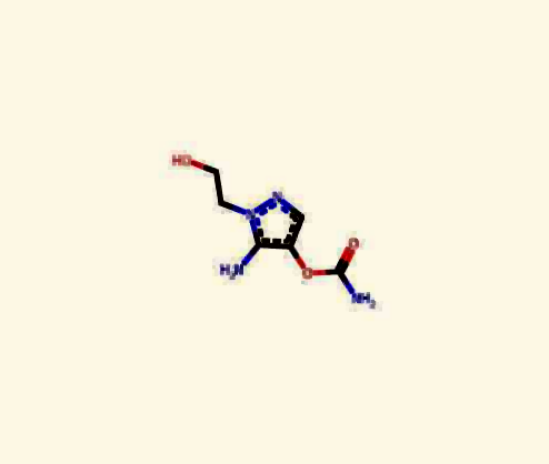 NC(=O)Oc1cnn(CCO)c1N